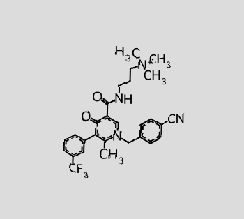 Cc1c(-c2cccc(C(F)(F)F)c2)c(=O)c(C(=O)NCCC[N+](C)(C)C)cn1Cc1ccc(C#N)cc1